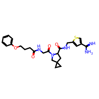 N=C(N)c1csc(CNC(=O)C2CC3(CC3)CN2C(=O)CNC(=O)CCCOc2ccccc2)c1